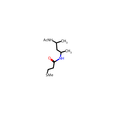 CSCCC(=O)NC(C)CC(C)NC(C)=O